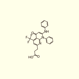 O=C(O)CCc1cc(C(F)(F)F)c2c(=O)cc(Nc3ccccc3)n(-c3ccccc3)c2n1